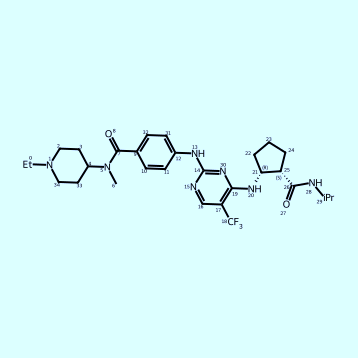 CCN1CCC(N(C)C(=O)c2ccc(Nc3ncc(C(F)(F)F)c(N[C@@H]4CCC[C@@H]4C(=O)NC(C)C)n3)cc2)CC1